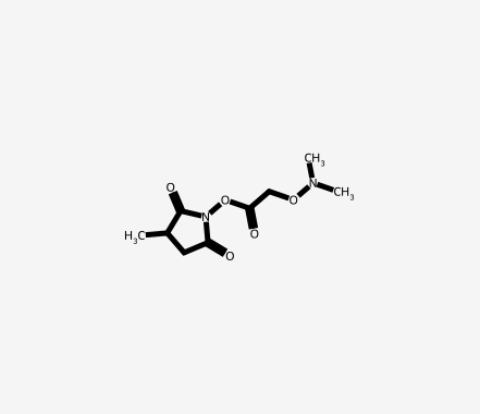 CC1CC(=O)N(OC(=O)CON(C)C)C1=O